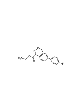 CCOC(=O)C1=NOCc2cc(-c3ccc(F)cc3)ccc21